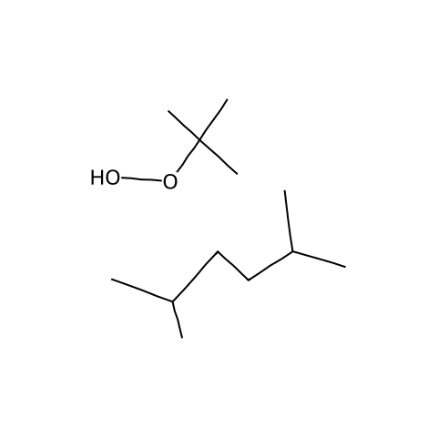 CC(C)(C)OO.CC(C)CCC(C)C